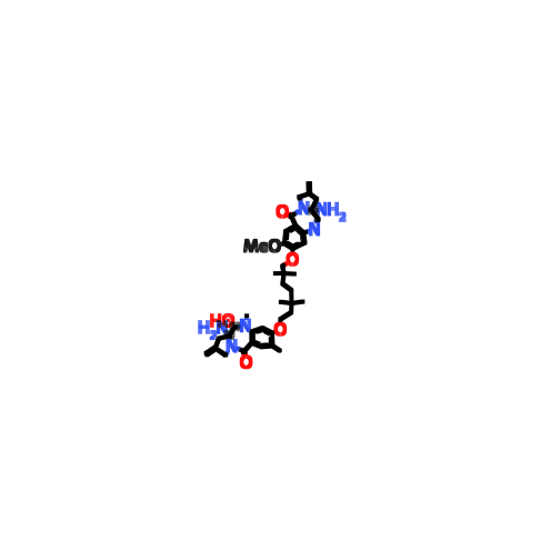 C=C1CN2C(=O)c3cc(C)c(OCCC(C)(C)CCC(C)(C)COc4cc5c(cc4OC)C(=O)N4CC(=C)C[C@@]4(N)C=N5)cc3N(C)[C@@H](O)[C@]2(N)C1